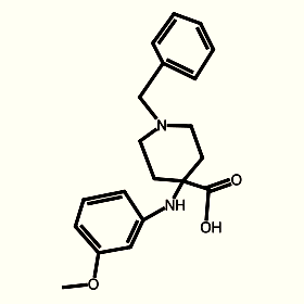 COc1cccc(NC2(C(=O)O)CCN(Cc3ccccc3)CC2)c1